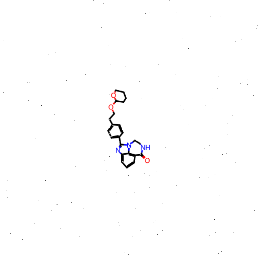 O=C1NCCn2c(-c3ccc(CCOC4CCCCO4)cc3)nc3cccc1c32